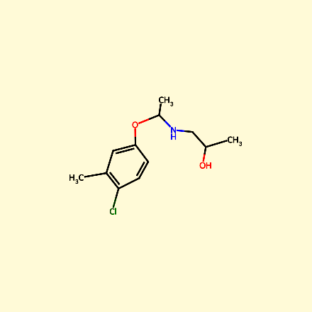 Cc1cc(OC(C)NCC(C)O)ccc1Cl